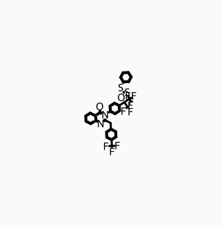 O=c1c2ccccc2nc(Cc2ccc(C(F)(F)F)cc2)n1-c1ccc(C(OC(=S)Sc2ccccc2)(C(F)(F)F)C(F)(F)F)cc1